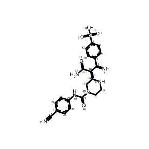 CS(=O)(=O)c1ccc(C(=N)/C(C(N)=O)=C2/CN(C(=O)Nc3ccc(C#N)cc3)CCN2)cc1